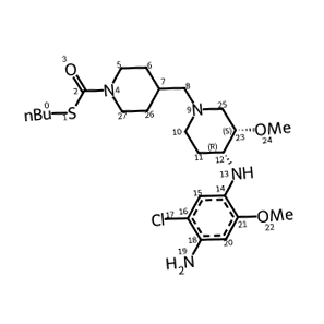 CCCCSC(=O)N1CCC(CN2CC[C@@H](Nc3cc(Cl)c(N)cc3OC)[C@@H](OC)C2)CC1